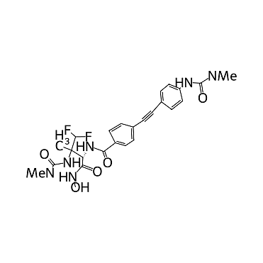 CNC(=O)Nc1ccc(C#Cc2ccc(C(=O)N[C@H](C(=O)NO)C(C)(NC(=O)NC)C(F)F)cc2)cc1